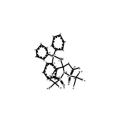 CCCC(CC)(N[PH](c1ccccc1)(c1ccccc1)c1ccccc1)N(S(=O)(=O)C(F)(F)F)S(=O)(=O)C(F)(F)F